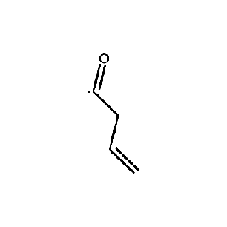 C=CC[C]=O